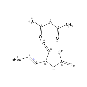 CC(=O)OC(C)=O.CCCCCC/C=C/C1CC(=O)OC1=O